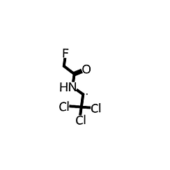 O=C(CF)N[CH]C(Cl)(Cl)Cl